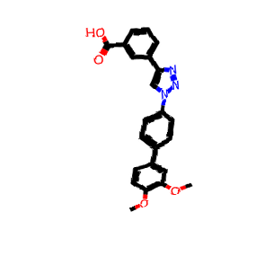 COc1ccc(-c2ccc(-n3cc(-c4cccc(C(=O)O)c4)nn3)cc2)cc1OC